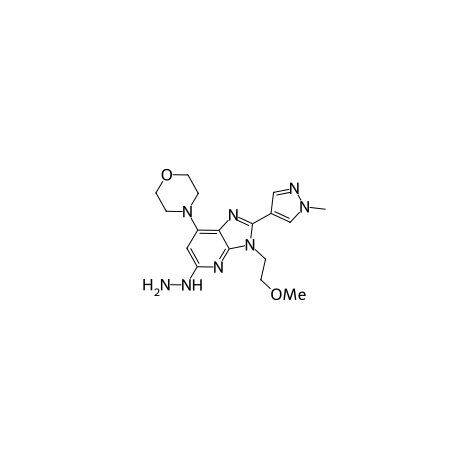 COCCn1c(-c2cnn(C)c2)nc2c(N3CCOCC3)cc(NN)nc21